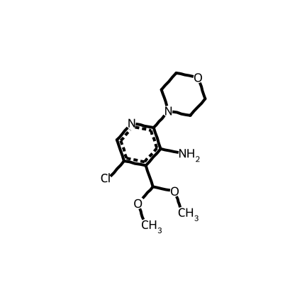 COC(OC)c1c(Cl)cnc(N2CCOCC2)c1N